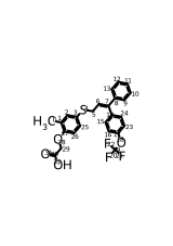 Cc1cc(SCC=C(c2ccccc2)c2ccc(OC(F)(F)F)cc2)ccc1OCC(=O)O